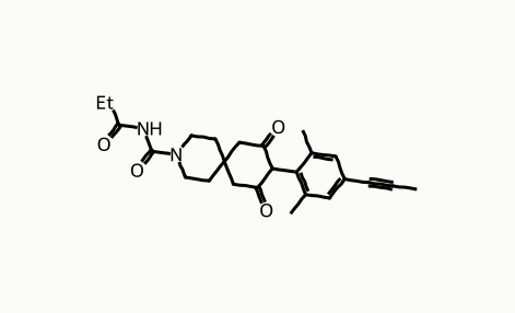 CC#Cc1cc(C)c(C2C(=O)CC3(CCN(C(=O)NC(=O)CC)CC3)CC2=O)c(C)c1